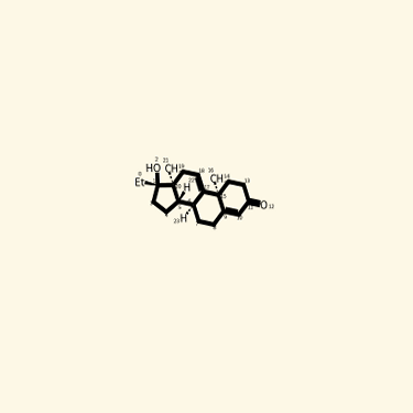 CC[C@]1(O)CC[C@H]2[C@@H]3CCC4=CC(=O)CC[C@]4(C)C3=CC[C@@]21C